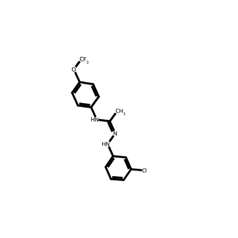 CC(=NNc1cccc(Cl)c1)Nc1ccc(OC(F)(F)F)cc1